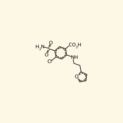 NS(=O)(=O)c1cc(C(=O)O)c(NCCc2ccco2)cc1Cl